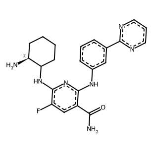 NC(=O)c1cc(F)c(NC2CCCC[C@@H]2N)nc1Nc1cccc(-c2ncccn2)c1